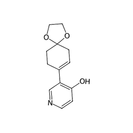 Oc1ccncc1C1=CCC2(CC1)OCCO2